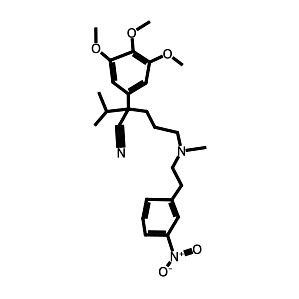 COc1cc(C(C#N)(CCCN(C)CCc2cccc([N+](=O)[O-])c2)C(C)C)cc(OC)c1OC